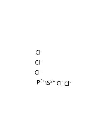 [Cl-].[Cl-].[Cl-].[Cl-].[Cl-].[P+3].[S+2]